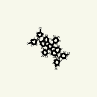 Cc1ccc(N(c2ccc(C)cc2)c2ccc3c4c(-c5ccccc5)c5c6ccc(N(c7ccc(C)cc7)c7ccc(C)cc7)c7cccc(c5c(-c5ccccc5)c4c4cccc2c43)c76)cc1